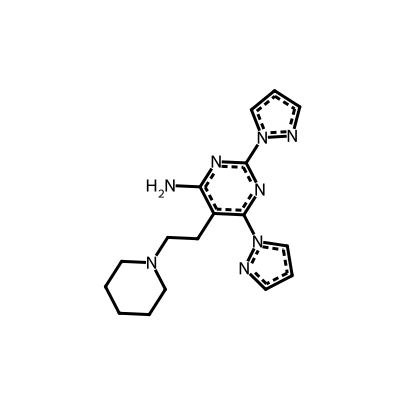 Nc1nc(-n2cccn2)nc(-n2cccn2)c1CCN1CCCCC1